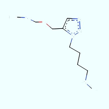 CNCCCCn1nncc1COCNC